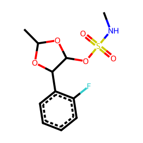 CNS(=O)(=O)OC1OC(C)OC1c1ccccc1F